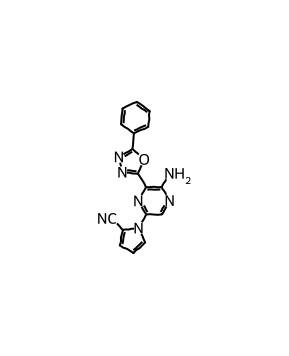 N#Cc1cccn1-c1cnc(N)c(-c2nnc(-c3ccccc3)o2)n1